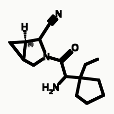 CCC1(C(N)C(=O)N2CC3C[C@H]3C2C#N)CCCC1